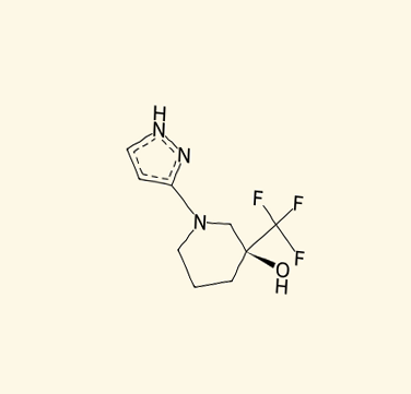 O[C@@]1(C(F)(F)F)CCCN(c2cc[nH]n2)C1